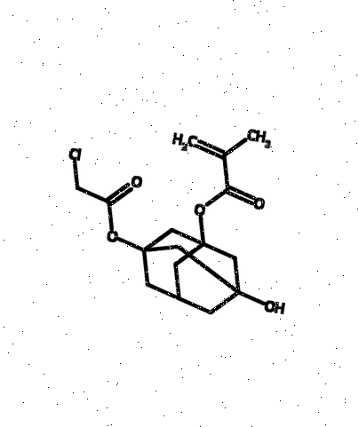 C=C(C)C(=O)OC12CC3CC(O)(CC(OC(=O)CCl)(C3)C1)C2